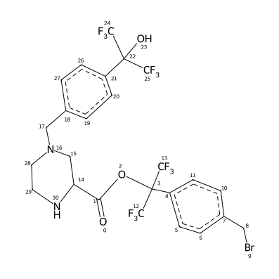 O=C(OC(c1ccc(CBr)cc1)(C(F)(F)F)C(F)(F)F)C1CN(Cc2ccc(C(O)(C(F)(F)F)C(F)(F)F)cc2)CCN1